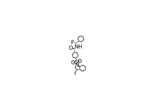 O=C(NC(F)c1ccccc1)c1ccc(S(=O)(=O)n2cc(I)c3ccccc32)cc1